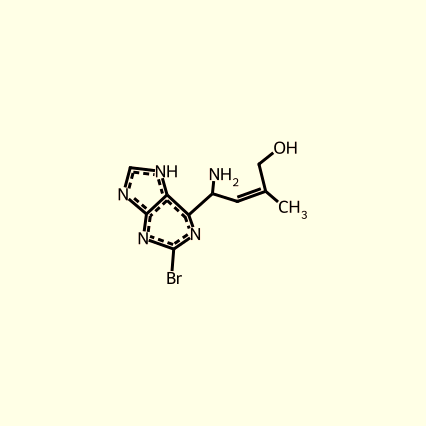 CC(=CC(N)c1nc(Br)nc2nc[nH]c12)CO